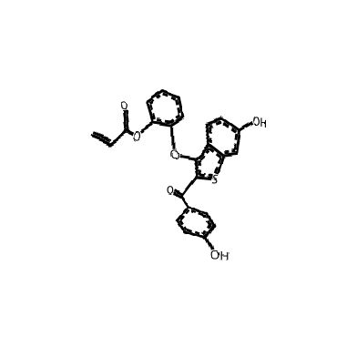 C=CC(=O)Oc1ccccc1Oc1c(C(=O)c2ccc(O)cc2)sc2cc(O)ccc12